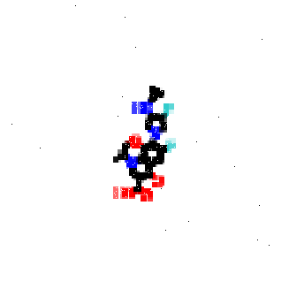 C[C@H]1COc2c(N3C[C@H](NC4CC4)[C@@H](F)C3)c(F)cc3c(=O)c(C(=O)O)cn1c23